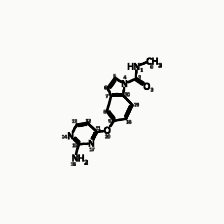 CNC(=O)n1ccc2cc(Oc3ccnc(N)n3)ccc21